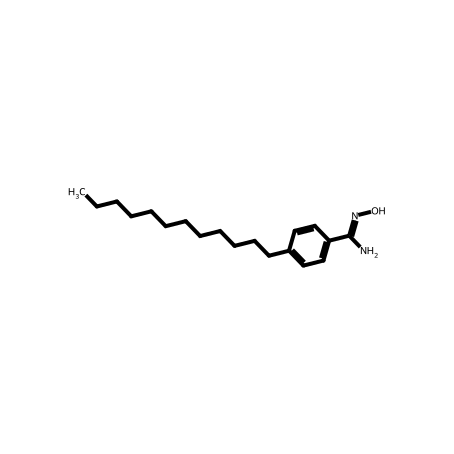 CCCCCCCCCCCCc1ccc(/C(N)=N/O)cc1